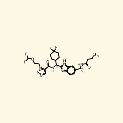 C[C@@H](NC(=O)CCC(F)(F)F)c1ccc2nc([C@@H](NC(=O)c3cnnn3CCOC(F)F)C3CCC(F)(F)CC3)[nH]c2c1